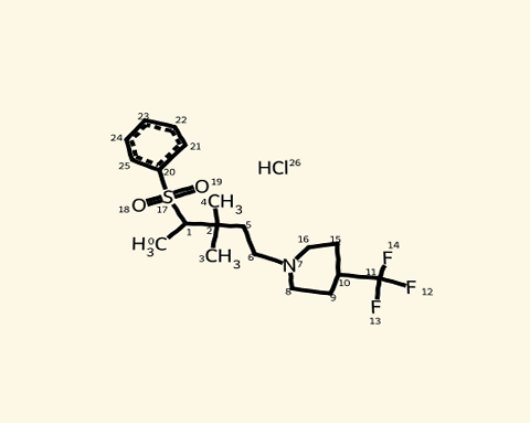 CC(C(C)(C)CCN1CCC(C(F)(F)F)CC1)S(=O)(=O)c1ccccc1.Cl